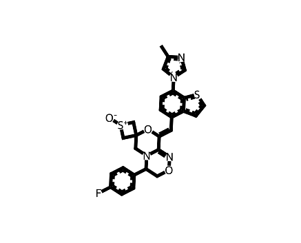 Cc1cn(-c2ccc(/C=C3\OC4(CN5C3=NOCC5c3ccc(F)cc3)C[S+]([O-])C4)c3ccsc23)cn1